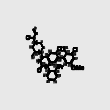 C=CC(=O)N1CCN(c2nc(=O)n(-c3ccccc3C(C)C)c3cc(-c4cc(OC)cc(Cl)c4Cl)c(Cl)cc23)[C@@H](C)C1